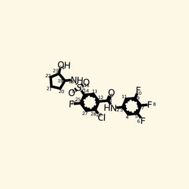 O=C(Nc1cc(F)c(F)c(F)c1)c1cc(S(=O)(=O)NC2CCCC2O)c(F)cc1Cl